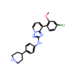 COc1cc(Cl)ccc1-c1cccn2nc(Nc3ccc(C4CCNCC4)cc3)nc12